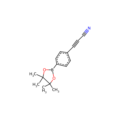 CC1(C)OB(c2ccc(C#CC#N)cc2)OC1(C)C